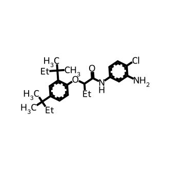 CCC(Oc1ccc(C(C)(C)CC)cc1C(C)(C)CC)C(=O)Nc1ccc(Cl)c(N)c1